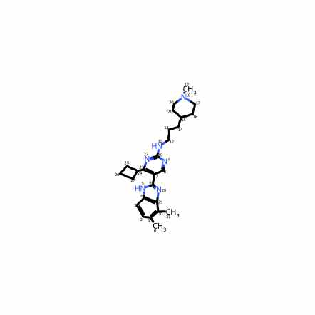 Cc1ccc2[nH]c(-c3cnc(NCCCC4CCN(C)CC4)nc3C3CCC3)nc2c1C